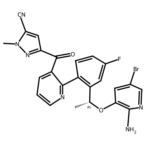 C[C@@H](Oc1cc(Br)cnc1N)c1cc(F)ccc1-c1ncccc1C(=O)c1cc(C#N)n(C)n1